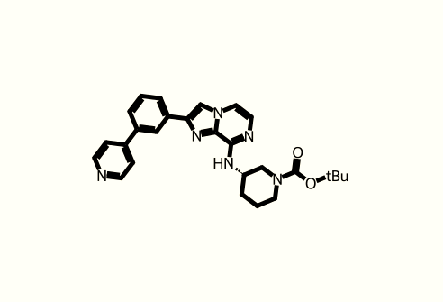 CC(C)(C)OC(=O)N1CCC[C@H](Nc2nccn3cc(-c4cccc(-c5ccncc5)c4)nc23)C1